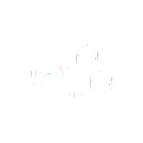 Cl[SiH2]Cl.Oc1ccccc1.Oc1ccccc1